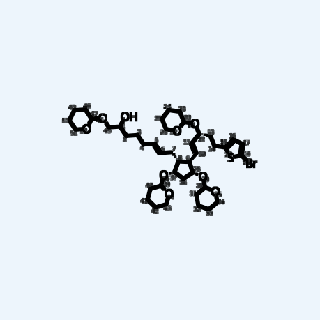 OC(CCCC=CC[C@@H]1[C@@H](C=C[C@@H](CCc2ccc(Br)s2)OC2CCCCO2)[C@H](OC2CCCCO2)C[C@@H]1OC1CCCCO1)COC1CCCCO1